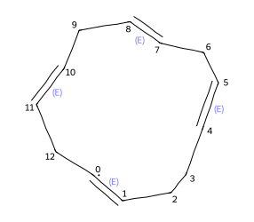 [C]1=C/CC/C=C/C/C=C/C/C=C/C/1